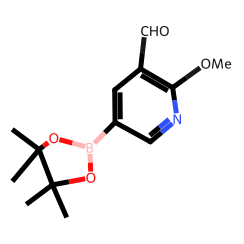 COc1ncc(B2OC(C)(C)C(C)(C)O2)cc1C=O